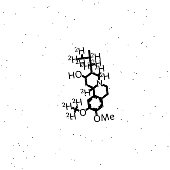 [2H]C([2H])([2H])Oc1cc2c(cc1OC)CCN1C2([2H])CC(O)C(C([2H])([2H])C([2H])(C)C([2H])([2H])[2H])C1([2H])[2H]